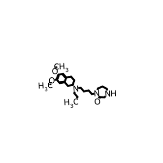 CCCN(CCCCN1CCCNCC1=O)C1CCc2cc(OC)c(OC)cc2C1